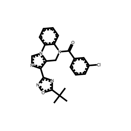 CC(C)(C)c1nc(-c2ncn3c2CN(C(=O)c2cccc(Cl)c2)c2ccccc2-3)no1